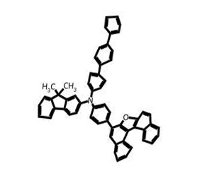 CC1(C)c2ccccc2-c2ccc(N(c3ccc(-c4ccc(-c5ccccc5)cc4)cc3)c3ccc(-c4cc5ccccc5c5c4oc4ccc6ccccc6c45)cc3)cc21